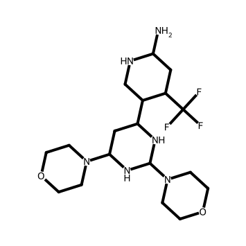 NC1CC(C(F)(F)F)C(C2CC(N3CCOCC3)NC(N3CCOCC3)N2)CN1